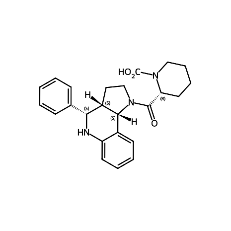 O=C(O)N1CCCC[C@@H]1C(=O)N1CC[C@H]2[C@@H](c3ccccc3)Nc3ccccc3[C@H]21